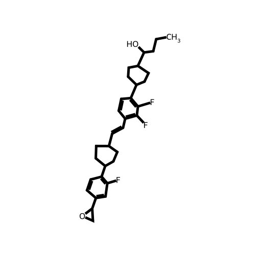 CCCC(O)C1CCC(c2ccc(/C=C/C3CCC(c4ccc(C5CO5)cc4F)CC3)c(F)c2F)CC1